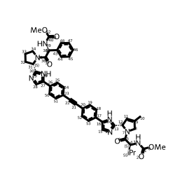 COC(=O)N[C@H](C(=O)N1CC(C)=C[C@H]1c1ncc(-c2ccc(C#Cc3ccc(-c4cnc([C@@H]5CCCN5C(=O)[C@H](NC(=O)OC)c5ccccc5)[nH]4)cc3)cc2)[nH]1)C(C)C